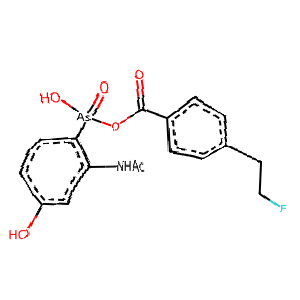 CC(=O)Nc1cc(O)ccc1[As](=O)(O)OC(=O)c1ccc(CCF)cc1